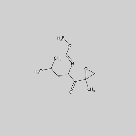 BOC=N[C@@H](CC(C)C)C(=O)C1(C)CO1